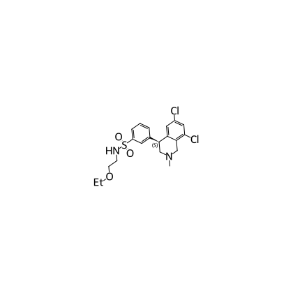 CCOCCNS(=O)(=O)c1cccc([C@@H]2CN(C)Cc3c(Cl)cc(Cl)cc32)c1